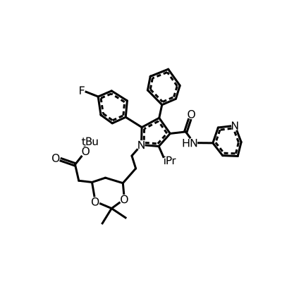 CC(C)c1c(C(=O)Nc2cccnc2)c(-c2ccccc2)c(-c2ccc(F)cc2)n1CCC1CC(CC(=O)OC(C)(C)C)OC(C)(C)O1